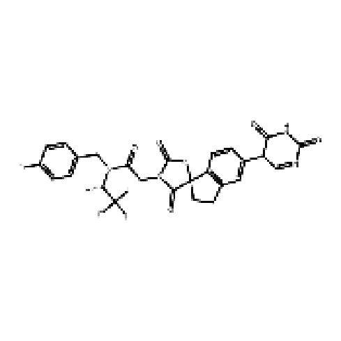 C[C@H](N(Cc1ccc(F)cc1)C(=O)CN1C(=O)O[C@@]2(CCc3cc(C4C=NC(=O)NC4=O)ccc32)C1=O)C(F)(F)F